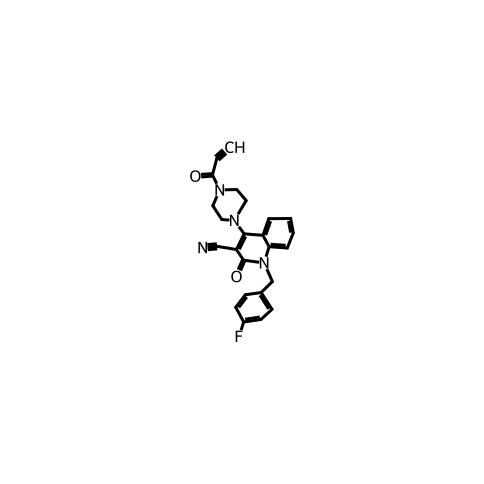 C#CC(=O)N1CCN(c2c(C#N)c(=O)n(Cc3ccc(F)cc3)c3ccccc23)CC1